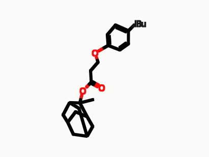 CCC(C)c1ccc(OCCC(=O)OC2(C)C3CC4CC(C3)CC2C4)cc1